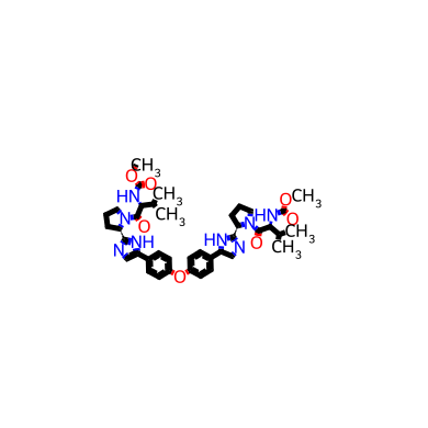 COC(=O)N[C@H](C(=O)N1CCC[C@H]1C1=NCC(c2ccc(Oc3ccc(-c4cnc([C@@H]5CCCN5C(=O)[C@@H](NC(=O)OC)C(C)C)[nH]4)cc3)cc2)N1)C(C)C